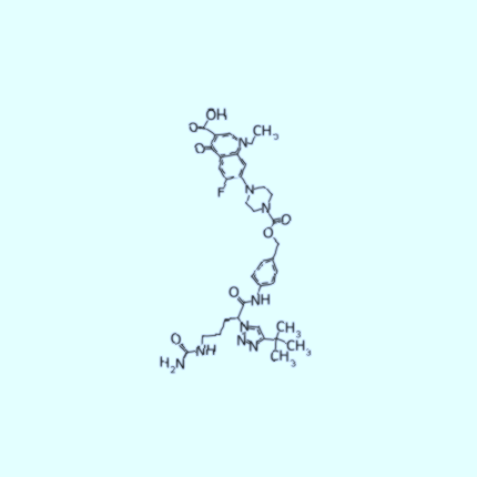 CCn1cc(C(=O)O)c(=O)c2cc(F)c(N3CCN(C(=O)OCc4ccc(NC(=O)[C@H](CCCNC(N)=O)n5cc(C(C)(C)C)nn5)cc4)CC3)cc21